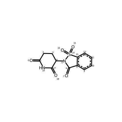 O=C1CCC(N2C(=O)c3ccccc3S2(=O)=O)C(=O)N1